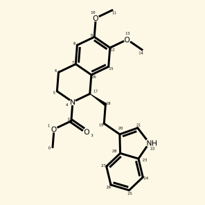 COC(=O)N1CCc2cc(OC)c(OC)cc2[C@H]1CCc1c[nH]c2ccccc12